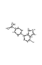 Cc1ccc(-c2ccc(C(=O)O)cc2)c2nsnc12